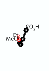 CCOC(OC)Oc1cc(C#Cc2ccc(C(=O)O)cc2)ccc1C12CC3CC(CC(C3)C1)C2